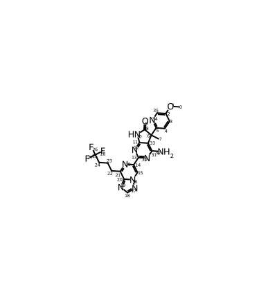 COc1ccc(C2(C)C(=O)Nc3nc(-c4cn5ncnc5c(CCCC(F)(F)F)n4)nc(N)c32)nc1